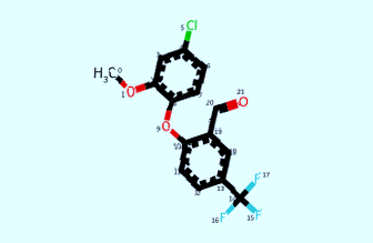 COc1cc(Cl)ccc1Oc1ccc(C(F)(F)F)cc1C=O